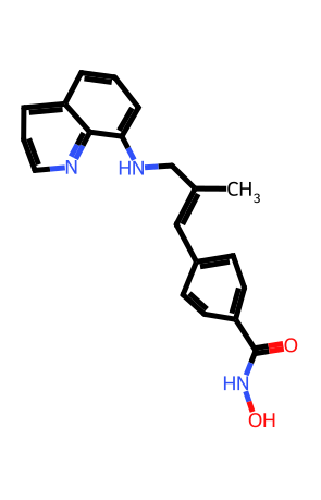 CC(=Cc1ccc(C(=O)NO)cc1)CNc1cccc2cccnc12